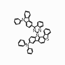 c1ccc(N(c2ccccc2)c2ccc3c(c2)c2ccc4sc5ccccc5c4c2n3-c2nc(-c3ccc4c(c3)c3ccccc3n4-c3ccccc3)c3ccccc3n2)cc1